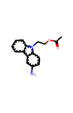 CC(=O)OCCn1c2ccccc2c2cc(N)ccc21